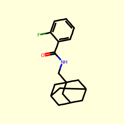 O=C(NCC12CC3CC(CC(C3)C1)C2)c1ccccc1F